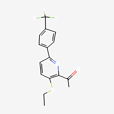 CCSc1ccc(-c2ccc(C(F)(F)F)cc2)nc1C(C)=O